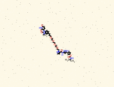 CC(C)NC(=O)O[C@@H]1CC[C@H](c2cc(NC(=O)c3ccnn3CCOCCOCCOCCOCCCc3ccc4c(c3)n(C)c(=O)n4C3CCC(=O)NC3=O)n[nH]2)C1